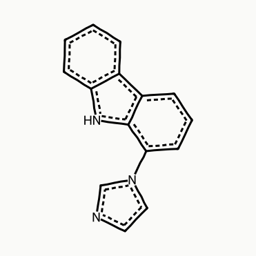 c1ccc2c(c1)[nH]c1c(-n3ccnc3)cccc12